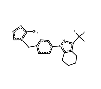 Cc1nccn1Cc1ccc(-n2nc(C(F)(F)F)c3c2CCCC3)cc1